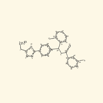 CCOC(=O)Cc1nnc(-c2ccc(C(CC(=O)c3ccnc(C)c3)c3ccccc3C)cc2)o1